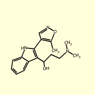 Cc1oncc1-c1[nH]c2ccccc2c1C(O)CCN(C)C